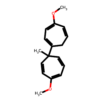 COC1=CC=CC(C)(C2=CC=C(OC)C=CC2)C=C1